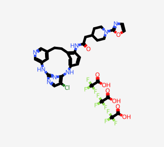 O=C(CC1CCN(c2ncco2)CC1)Nc1ccc2cc1CCc1cncc(c1)Nc1ncc(Cl)c(n1)N2.O=C(O)C(F)(F)F.O=C(O)C(F)(F)F.O=C(O)C(F)(F)F